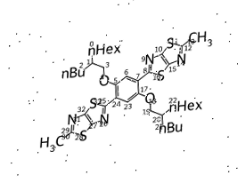 CCCCCCC(CCCC)COc1cc(-c2nc3sc(C)nc3s2)c(OCC(CCCC)CCCCCC)cc1-c1nc2sc(C)nc2s1